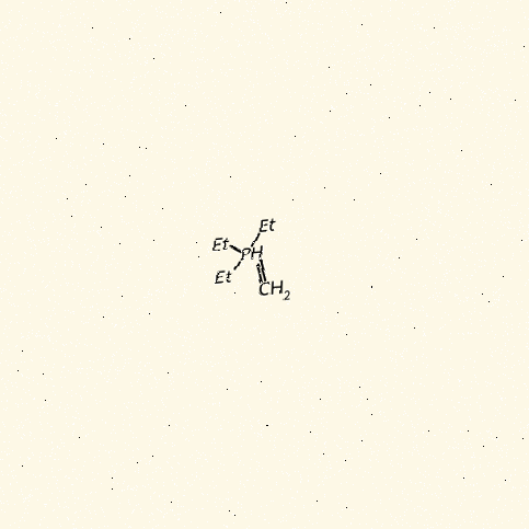 C=C[PH](CC)(CC)CC